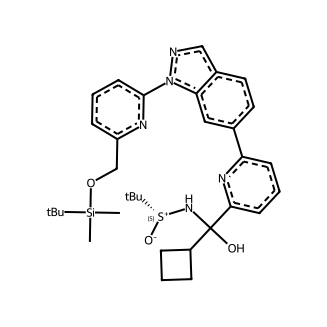 CC(C)(C)[S@@+]([O-])NC(O)(c1cccc(-c2ccc3cnn(-c4cccc(CO[Si](C)(C)C(C)(C)C)n4)c3c2)n1)C1CCC1